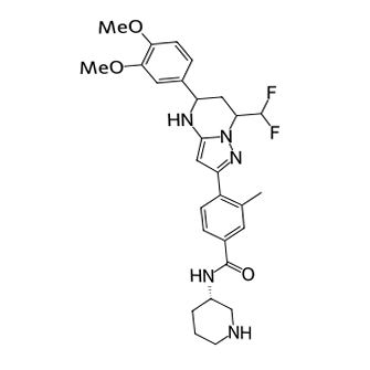 COc1ccc(C2CC(C(F)F)n3nc(-c4ccc(C(=O)N[C@H]5CCCNC5)cc4C)cc3N2)cc1OC